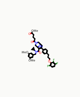 COC(=O)CCCC(=O)N1CC2CC(c3ccc(CCCOc4c(F)ccc(F)c4F)cc3)=C(C(=O)N(Cc3cc(OC)cc(OC)c3)C3CC3)C(C1)N2